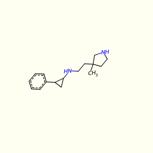 CC1(CCNC2CC2c2ccccc2)CCNC1